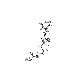 CC(C)(C)OC(=O)NCCN1CC[C@H](NC(=O)OCc2ccccc2)C1